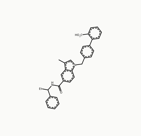 CCC(NC(=O)c1ccc2c(c1)c(C)cn2Cc1ccc(-c2ccccc2C(=O)O)cc1)c1ccccc1